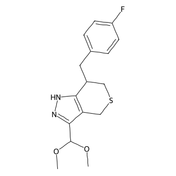 COC(OC)c1n[nH]c2c1CSCC2Cc1ccc(F)cc1